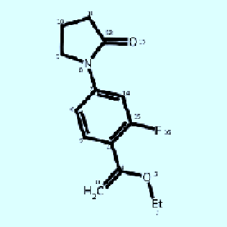 C=C(OCC)c1ccc(N2CCCC2=O)cc1F